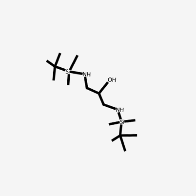 CC(C)(C)[Si](C)(C)NCC(O)CN[Si](C)(C)C(C)(C)C